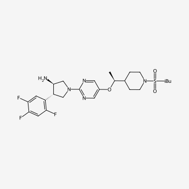 CCC(C)S(=O)(=O)N1CCC([C@H](C)Oc2cnc(N3C[C@H](c4cc(F)c(F)cc4F)[C@@H](N)C3)nc2)CC1